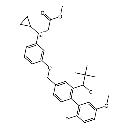 COC(=O)C[C@H](c1cccc(OCc2ccc(-c3cc(OC)ccc3F)c(C(Cl)C(C)(C)C)c2)c1)C1CC1